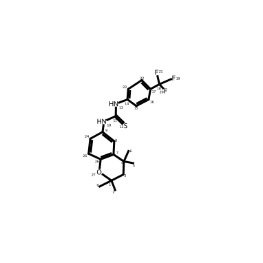 CC1(C)CC(C)(C)c2cc(NC(=S)Nc3ccc(C(F)(F)F)cc3)ccc2O1